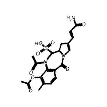 CC(=O)Oc1c(C)ccc2c1N(C(C)=O)C(S(=O)(=O)O)C1CC(/C=C/C(N)=O)=CN1C2=O